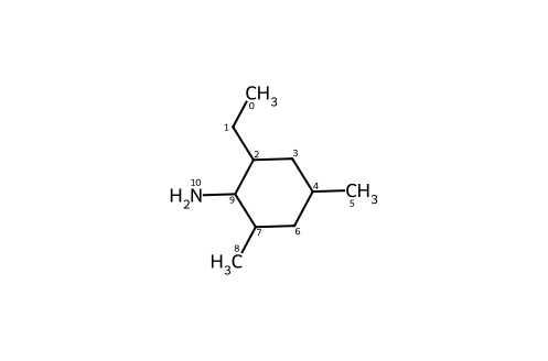 CCC1CC(C)CC(C)C1N